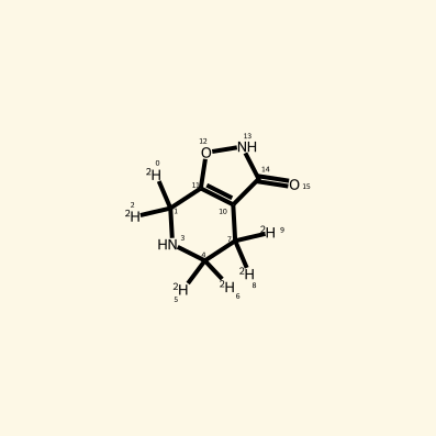 [2H]C1([2H])NC([2H])([2H])C([2H])([2H])c2c1o[nH]c2=O